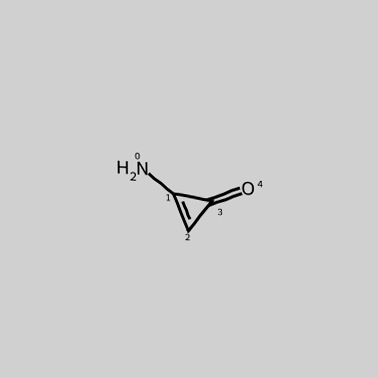 Nc1cc1=O